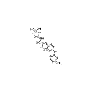 Cc1ccnc(Oc2ccc3nc(C(=O)NC4CCS(O)(O)C4)ccc3c2)n1